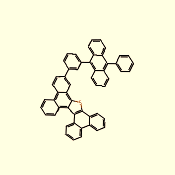 c1ccc(-c2c3ccccc3c(-c3cccc(-c4ccc5c6ccccc6c6c(sc7c8ccccc8c8ccccc8c76)c5c4)c3)c3ccccc23)cc1